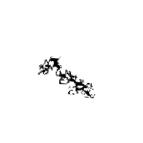 CS(=O)(=O)c1nccc(COc2nnc(-c3cc(Cl)c(OCCCl)c(C#N)c3)o2)n1